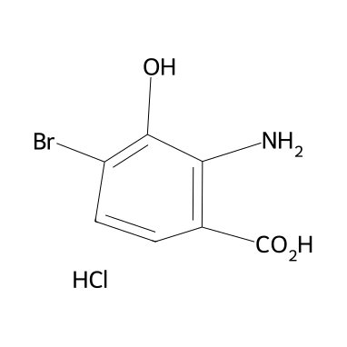 Cl.Nc1c(C(=O)O)ccc(Br)c1O